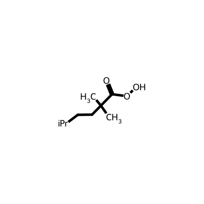 CC(C)CCC(C)(C)C(=O)OO